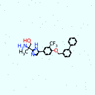 CC(N)(CO)c1ncc(-c2ccc(OCc3cccc(-c4ccccc4)c3)c(C(F)(F)F)c2)[nH]1